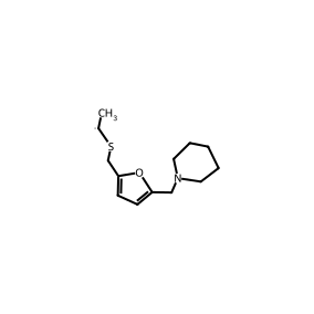 C[CH]SCc1ccc(CN2CCCCC2)o1